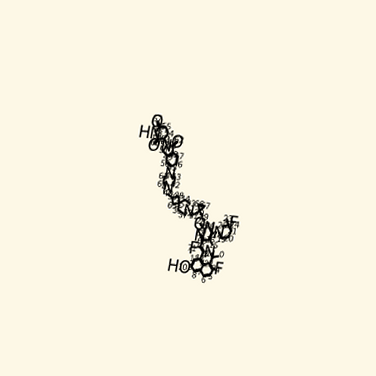 CCc1c(F)ccc2cc(O)cc(-c3ncc4c(N5CCCC(C)(F)C5)nc(OCC5(CN6CCC7(CC6)CC(CN6CCN(c8ccc9c(c8)CN([C@H]8CCC(=O)NC8=O)C9=O)CC6)C7)CC5)nc4c3F)c12